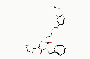 CCOC(=O)C(C)(C)Oc1cccc(CCCCn2nc(C3CCCC3)c(=O)n(Cc3ccccc3)c2=O)c1